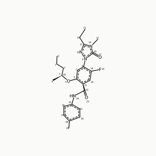 CCC[C@H](C)Oc1cc(-n2nc(CC)n(C)c2=O)c(F)cc1C(=O)Nc1ccc(C)cc1